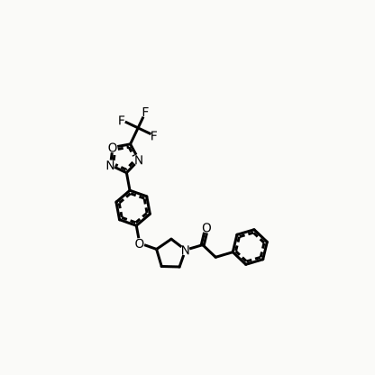 O=C(Cc1ccccc1)N1CCC(Oc2ccc(-c3noc(C(F)(F)F)n3)cc2)C1